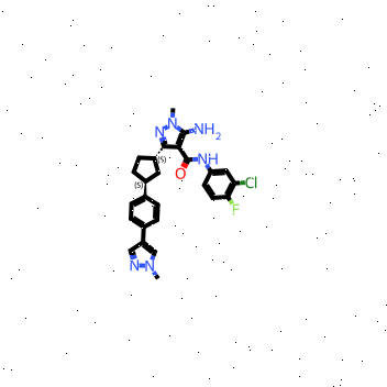 Cn1cc(-c2ccc([C@H]3CC[C@H](c4nn(C)c(N)c4C(=O)Nc4ccc(F)c(Cl)c4)C3)cc2)cn1